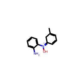 CC1=CC=C/C(=[N+](\O)c2ccccc2N)C1